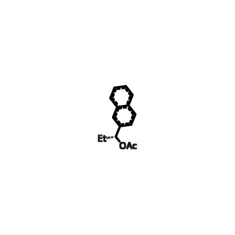 CC[C@@H](OC(C)=O)c1ccc2ccccc2c1